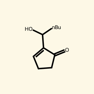 CCCCC(O)C1=CCCC1=O